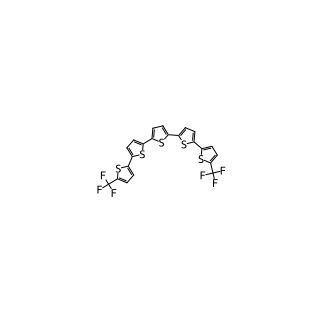 FC(F)(F)c1ccc(-c2ccc(-c3ccc(-c4ccc(-c5ccc(C(F)(F)F)s5)s4)s3)s2)s1